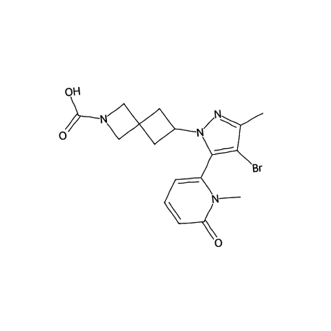 Cc1nn(C2CC3(C2)CN(C(=O)O)C3)c(-c2cccc(=O)n2C)c1Br